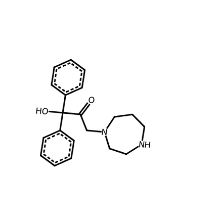 O=C(CN1CCCNCC1)C(O)(c1ccccc1)c1ccccc1